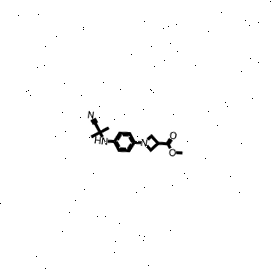 COC(=O)C1CN(c2ccc(NC(C)(C)C#N)cc2)C1